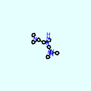 C1=Cc2c(c3cc(-c4ccc5c(c4)c4ccccc4n5-c4ccccc4)ccc3n2-c2ccc(-c3nc(-c4ccccc4)nc(-c4ccccc4)n3)cc2)NC1